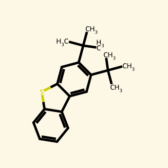 CC(C)(C)c1cc2sc3ccccc3c2cc1C(C)(C)C